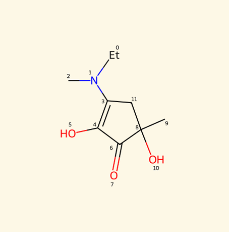 CCN(C)C1=C(O)C(=O)C(C)(O)C1